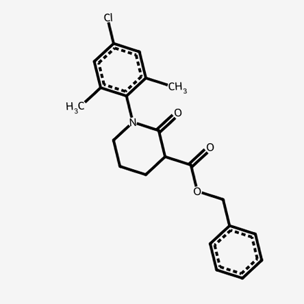 Cc1cc(Cl)cc(C)c1N1CCCC(C(=O)OCc2ccccc2)C1=O